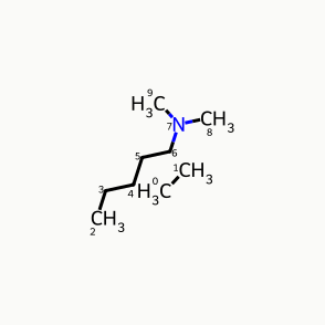 CC.CCCCCN(C)C